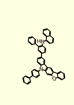 c1ccc(-c2ccc(-n3c4ccc(-c5ccc(Nc6cccc7ccccc67)c(-c6ccccc6)c5)cc4c4cc5c(cc43)oc3ccccc35)cc2)cc1